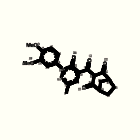 COc1ccc(-n2nc(C)cc(C(=O)C3C(=O)C4CCC(C4)C3=O)c2=O)cc1OC